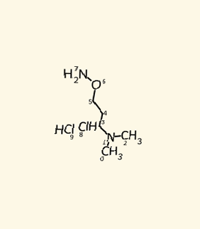 CN(C)CCCON.Cl.Cl